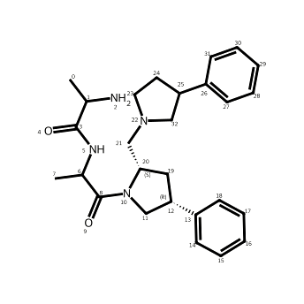 CC(N)C(=O)NC(C)C(=O)N1C[C@@H](c2ccccc2)C[C@H]1CN1CCC(c2ccccc2)C1